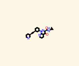 O=C(NC1CC1)c1nn(-c2cccc(C#Cc3cccnc3)c2)c2ncccc2c1=O